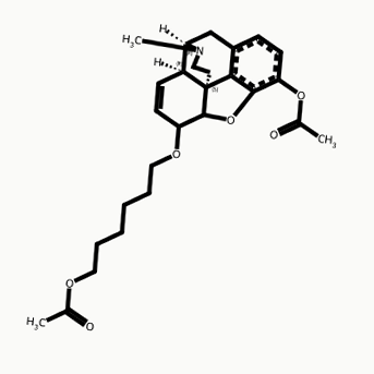 CC(=O)OCCCCCCOC1C=C[C@H]2[C@H]3Cc4ccc(OC(C)=O)c5c4[C@@]2(CCN3C)C1O5